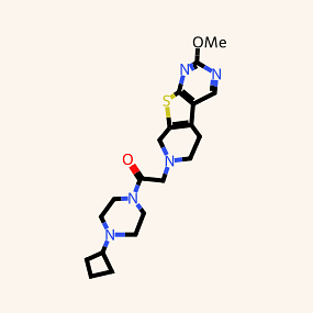 COc1ncc2c3c(sc2n1)CN(CC(=O)N1CCN(C2CCC2)CC1)CC3